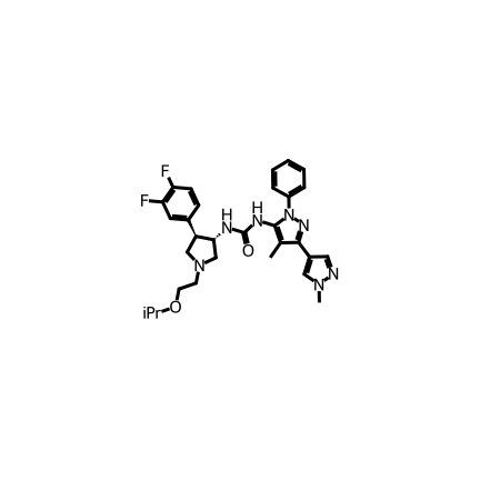 Cc1c(-c2cnn(C)c2)nn(-c2ccccc2)c1NC(=O)N[C@@H]1CN(CCOC(C)C)C[C@H]1c1ccc(F)c(F)c1